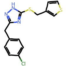 Clc1ccc(Cc2n[nH]c(SCc3ccsc3)n2)cc1